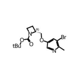 Cc1ncc(OC[C@H]2CCN2C(=O)OC(C)(C)C)cc1Br